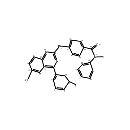 CC1C=CC=C(c2nc(Nc3ccc(C(=O)N(C)c4ccccc4)cc3)nc3ccc(Cl)cc23)C1